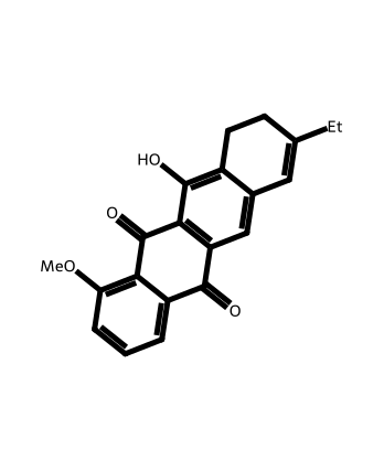 CCC1=Cc2cc3c(c(O)c2CC1)C(=O)c1c(OC)cccc1C3=O